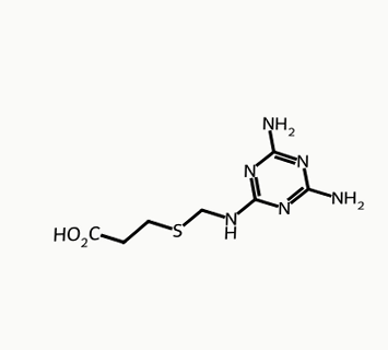 Nc1nc(N)nc(NCSCCC(=O)O)n1